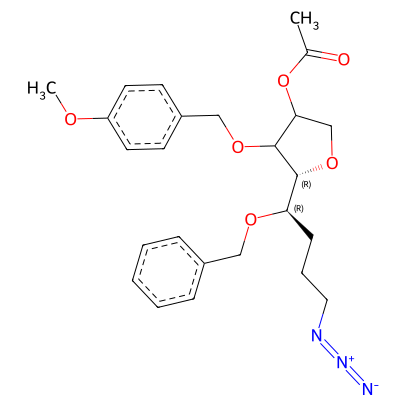 COc1ccc(COC2C(OC(C)=O)CO[C@@H]2[C@@H](CCCN=[N+]=[N-])OCc2ccccc2)cc1